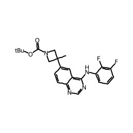 CC(C)(C)OC(=O)N1CC(C)(c2ccc3ncnc(Nc4cccc(F)c4F)c3c2)C1